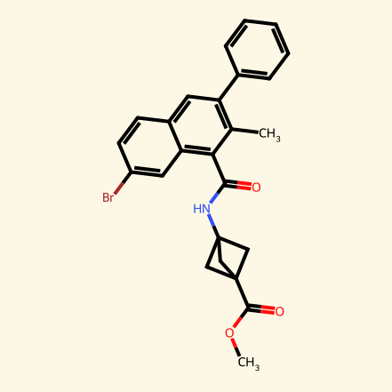 COC(=O)C12CC(NC(=O)c3c(C)c(-c4ccccc4)cc4ccc(Br)cc34)(C1)C2